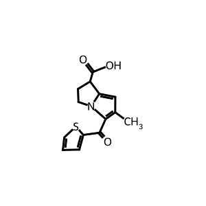 Cc1cc2n(c1C(=O)c1cccs1)CCC2C(=O)O